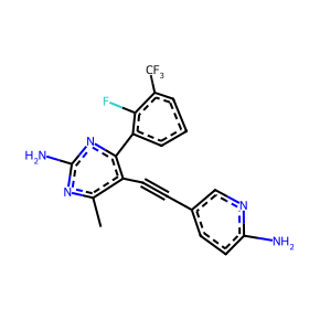 Cc1nc(N)nc(-c2cccc(C(F)(F)F)c2F)c1C#Cc1ccc(N)nc1